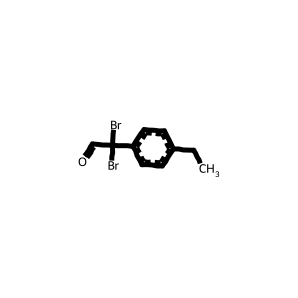 CCc1ccc(C(Br)(Br)C=O)cc1